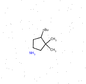 CCCCC1CCCC1(C)C.N